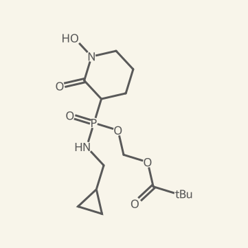 CC(C)(C)C(=O)OCOP(=O)(NCC1CC1)C1CCCN(O)C1=O